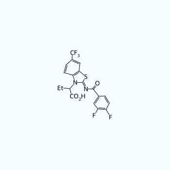 CCC(C(=O)O)n1c(=NC(=O)c2ccc(F)c(F)c2)sc2cc(C(F)(F)F)ccc21